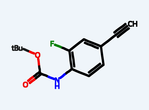 C#Cc1ccc(NC(=O)OC(C)(C)C)c(F)c1